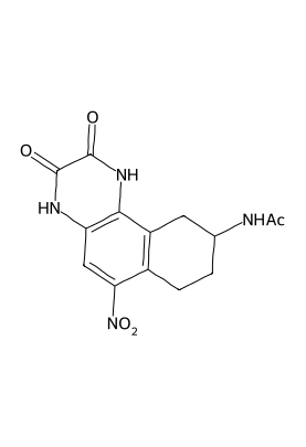 CC(=O)NC1CCc2c([N+](=O)[O-])cc3[nH]c(=O)c(=O)[nH]c3c2C1